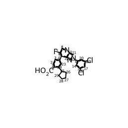 O=C(O)c1ccc(-c2c(F)cnc3cn(-c4cc(Cl)cc(Cl)c4)nc23)cc1C1CCCC1